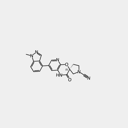 Cn1ncc2c(-c3cnc4c(c3)NC(=O)[C@@]3(CCN(C#N)C3)O4)cccc21